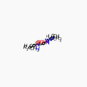 CC(C)(C)c1ccc(C(=O)N[C@@H](Cc2ccc(-c3ncc(N4CCN(C(C)(C)C)CC4)cn3)cc2)C(=O)O)cc1